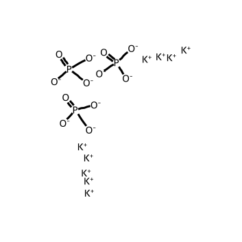 O=P([O-])([O-])[O-].O=P([O-])([O-])[O-].O=P([O-])([O-])[O-].[K+].[K+].[K+].[K+].[K+].[K+].[K+].[K+].[K+]